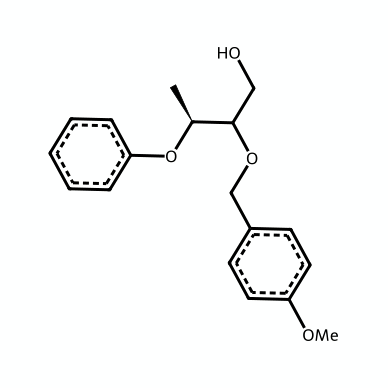 COc1ccc(COC(CO)[C@H](C)Oc2ccccc2)cc1